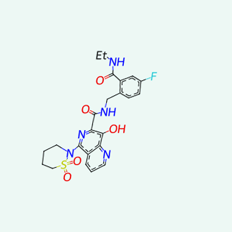 CCNC(=O)c1cc(F)ccc1CNC(=O)c1nc(N2CCCCS2(=O)=O)c2cccnc2c1O